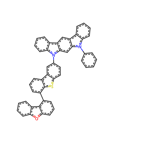 c1ccc(-n2c3ccccc3c3cc4c5ccccc5n(-c5ccc6sc7c(-c8cccc9oc%10ccccc%10c89)cccc7c6c5)c4cc32)cc1